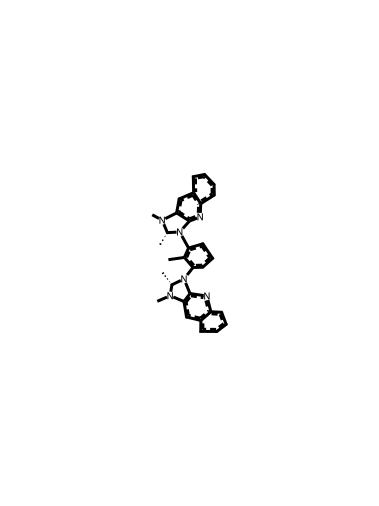 Cc1c(N2c3nc4ccccc4cc3N(C)[C@H]2C)cccc1N1c2nc3ccccc3cc2N(C)[C@@H]1C